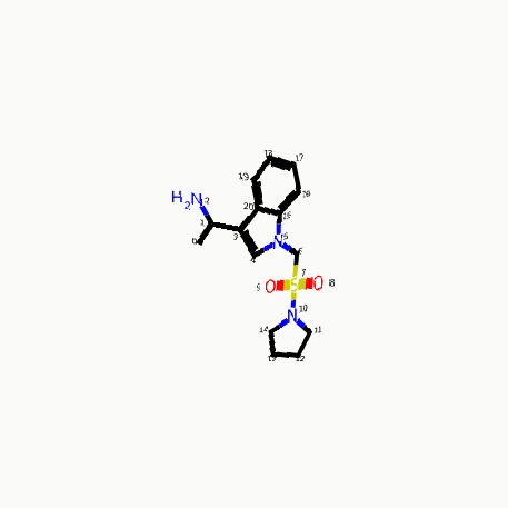 CC(N)c1cn(CS(=O)(=O)N2CCCC2)c2ccccc12